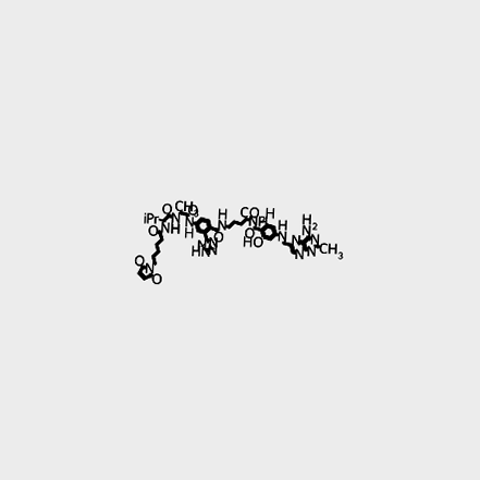 Cc1nc(N)c2nc(CNc3ccc(C(=O)N[C@@H](CCCNC(=O)c4ccc(NC(=O)[C@H](C)NC(=O)[C@@H](NC(=O)CCCCCN5C(=O)C=CC5=O)C(C)C)cc4-c4nn[nH]n4)C(=O)O)c(O)c3)cnc2n1